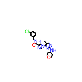 Cc1cnc(NC2CCOCC2)nc1-n1cnc(C(=O)NCc2cccc(Cl)c2)c1